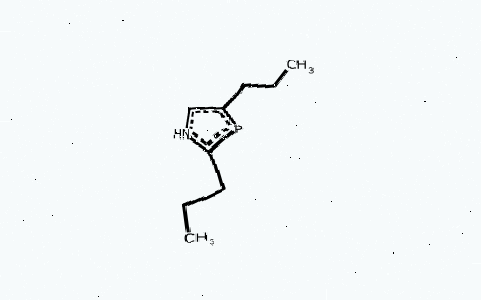 CCCc1c[nH]c(CCC)p1